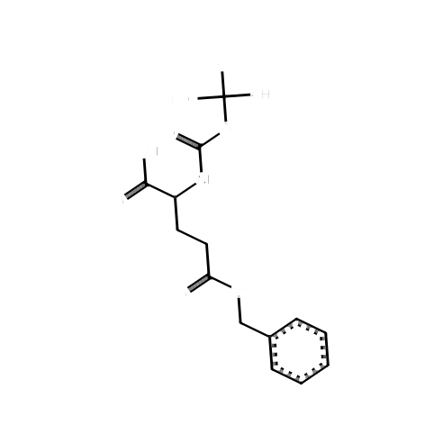 CC(C)(C)OC(=O)NC(CCC(=O)OCc1ccccc1)C(=O)O